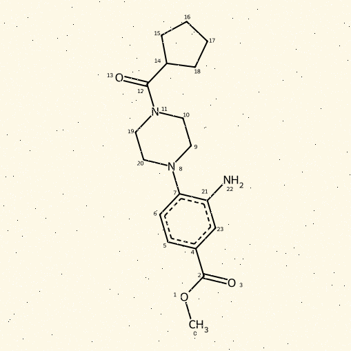 COC(=O)c1ccc(N2CCN(C(=O)C3CCCC3)CC2)c(N)c1